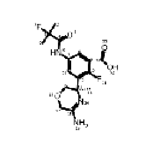 CC(C)(F)C(=O)Nc1ccc(F)c([C@]2(C)COCC(N)=N2)c1.O=CO